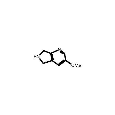 COc1cnc2c(c1)CNC2